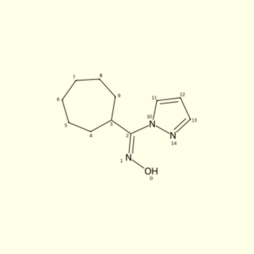 O/N=C(/C1CCCCCC1)n1cccn1